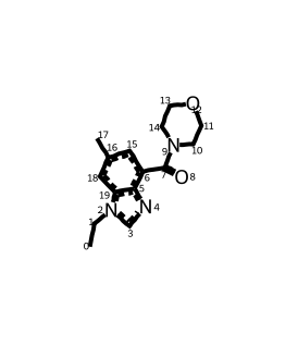 CCn1cnc2c(C(=O)N3CCOCC3)cc(C)cc21